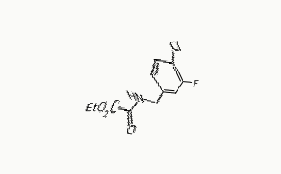 CCOC(=O)C(=O)NCc1ccc(Cl)c(F)c1